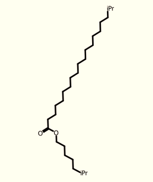 CC(C)CCCCCCCCCCCCCCCCC(=O)OCCCCCC(C)C